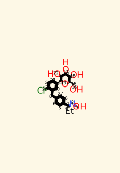 CCC(=NO)c1ccc(Cc2cc([C@@H]3O[C@H](CO)[C@@H](O)[C@H](O)[C@H]3O)ccc2Cl)cc1